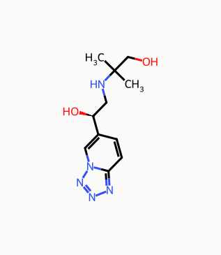 CC(C)(CO)NC[C@H](O)c1ccc2nnnn2c1